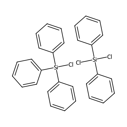 Cl[Si](Cl)(c1ccccc1)c1ccccc1.Cl[Si](c1ccccc1)(c1ccccc1)c1ccccc1